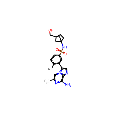 N#Cc1ccc(S(=O)(=O)NC23CCC(CO)(C2)C3)cc1-c1cnc2c(N)nc(C(F)(F)F)cn12